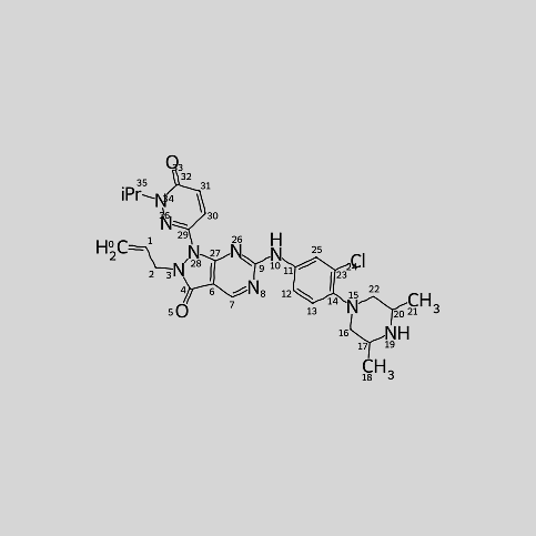 C=CCn1c(=O)c2cnc(Nc3ccc(N4CC(C)NC(C)C4)c(Cl)c3)nc2n1-c1ccc(=O)n(C(C)C)n1